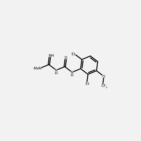 CCc1ccc(OC(F)(F)F)c(CC)c1NC(=O)NC(=N)NC